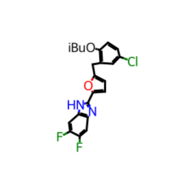 CC(C)COc1ccc(Cl)cc1Cc1ccc(-c2nc3cc(F)c(F)cc3[nH]2)o1